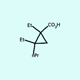 CCCC1(CC)CC1(CC)C(=O)O